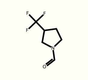 O=CN1CCC(C(F)(F)F)C1